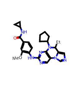 CCC1c2cncn2-c2cnc(Nc3ccc(C(=O)NC4CC4)cc3OC)nc2N1C1CCCC1